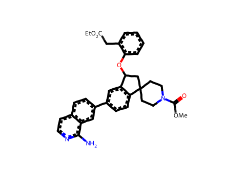 CCOC(=O)Cc1ccccc1OC1CC2(CCN(C(=O)OC)CC2)c2ccc(-c3ccc4ccnc(N)c4c3)cc21